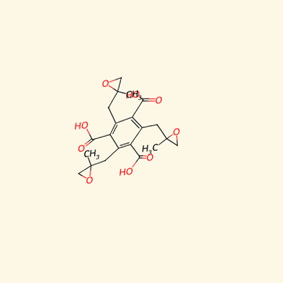 CC1(Cc2c(C(=O)O)c(CC3(C)CO3)c(C(=O)O)c(CC3(C)CO3)c2C(=O)O)CO1